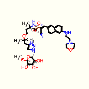 CO[C@H]1O[C@H](Cn2cc(CC(C)(C)OCCC(C)(C)NS(=O)(=O)/C(C#N)=C/c3ccc4cc(NCCN5CCOCC5)ccc4c3)nn2)[C@@H](O)[C@H](O)[C@H]1O